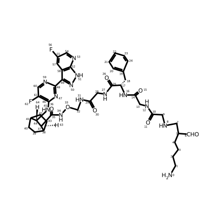 NCCCCC(C=O)CNCC(=O)NCC(=O)N[C@@H](Cc1ccccc1)C(=O)NCC(=O)NCONC(=O)[C@H]1C2CCC(CC2)[C@@H]1Nc1nc(-c2n[nH]c3ncc(F)cc23)ncc1F